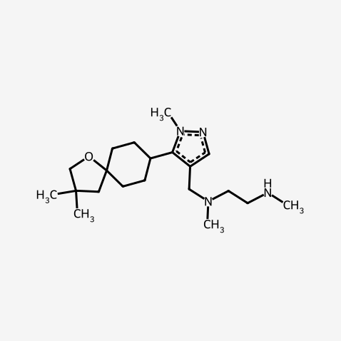 CNCCN(C)Cc1cnn(C)c1C1CCC2(CC1)CC(C)(C)CO2